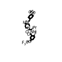 CC(C)[C@@H](NC(=O)c1cc(OC(F)(F)F)ccc1F)C(=O)N1CCC(C)(NCc2ccc(S(C)(=O)=O)cc2)CC1